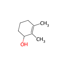 CC1=C(C)C(O)CCC1